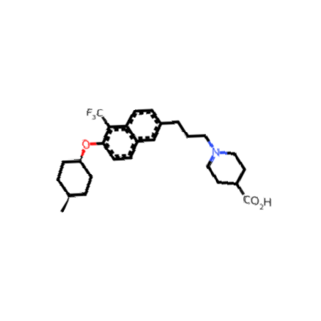 C[C@H]1CC[C@@H](Oc2ccc3cc(CCCN4CCC(C(=O)O)CC4)ccc3c2C(F)(F)F)CC1